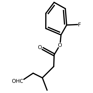 CC(CC=O)CC(=O)Oc1ccccc1F